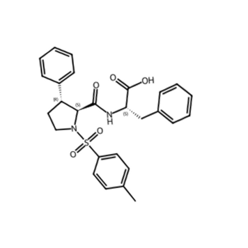 Cc1ccc(S(=O)(=O)N2CC[C@H](c3ccccc3)[C@H]2C(=O)N[C@@H](Cc2ccccc2)C(=O)O)cc1